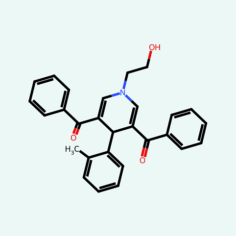 Cc1ccccc1C1C(C(=O)c2ccccc2)=CN(CCO)C=C1C(=O)c1ccccc1